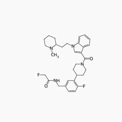 CN1CCCCC1CCn1cc(C(=O)N2CCC(c3cc(CNC(=O)CF)ccc3F)CC2)c2ccccc21